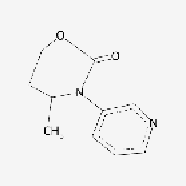 CC1CCOC(=O)N1c1cccnc1